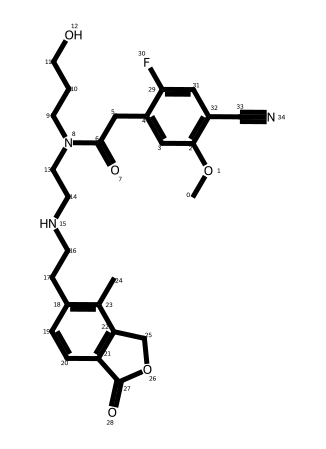 COc1cc(CC(=O)N(CCCO)CCNCCc2ccc3c(c2C)COC3=O)c(F)cc1C#N